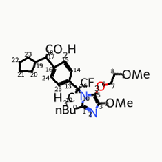 CCCCc1nc(OC)c(OCCOC)n1C(C)(c1ccc(C(C(=O)O)C2CCCC2)cc1)C(F)(F)F